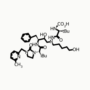 CC[C@H](C)[C@@H](C(=O)N[C@@H](Cc1ccccc1)[C@@H](O)CN(CCCCCO)NC(=O)[C@@H](NC(=O)O)C(C)(C)C)N1CCN(Cc2cccc(C)n2)C1=O